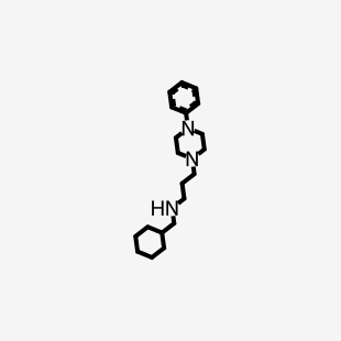 c1ccc(N2CCN(CCCNCC3CCCCC3)CC2)cc1